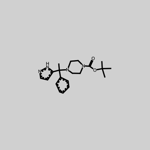 CC(C)(C)OC(=O)N1CCN(C(C)(c2ccccc2)c2ccn[nH]2)CC1